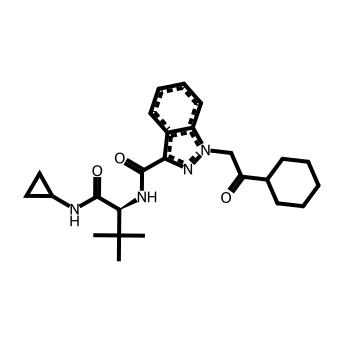 CC(C)(C)[C@H](NC(=O)c1nn(CC(=O)C2CCCCC2)c2ccccc12)C(=O)NC1CC1